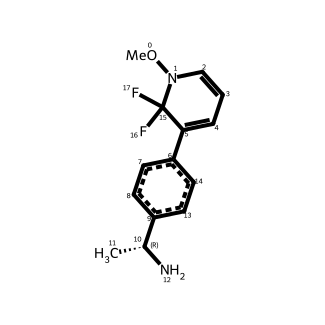 CON1C=CC=C(c2ccc([C@@H](C)N)cc2)C1(F)F